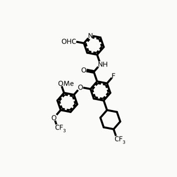 COc1cc(OC(F)(F)F)ccc1Oc1cc(C2CCC(C(F)(F)F)CC2)cc(F)c1C(=O)Nc1ccnc(C=O)c1